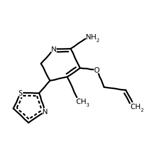 C=CCOC1=C(C)C(c2nccs2)CN=C1N